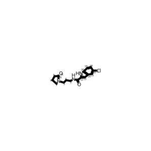 O=C(NCCCN1CCCC1=O)c1cc2cc(Cl)ccc2[nH]1